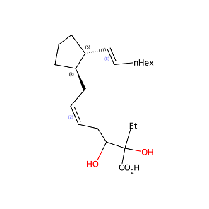 CCCCCC/C=C/[C@H]1CCC[C@@H]1C/C=C\CC(O)C(O)(CC)C(=O)O